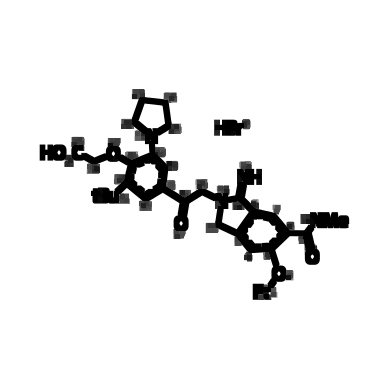 Br.CCOc1cc2c(cc1C(=O)NC)C(=N)N(CC(=O)c1cc(N3CCCC3)c(OCC(=O)O)c(C(C)(C)C)c1)C2